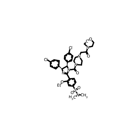 CCOc1cc(S(=O)(=O)N(C)C)ccc1C1=N[C@@H](c2ccc(Cl)cc2)[C@@H](c2ccc(Cl)cc2)N1C(=O)N1CCN(CC(=O)N2CCOCC2)CC1